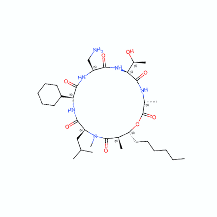 CCCCCC[C@H]1OC(=O)[C@@H](C)NC(=O)[C@H]([C@H](C)O)NC(=O)[C@H](CN)NC(=O)[C@H](C2CCCCC2)NC(=O)[C@H](CC(C)C)N(C)C(=O)[C@@H]1C